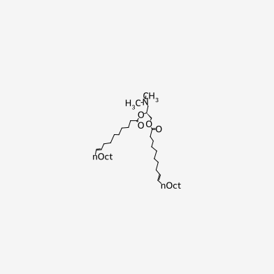 CCCCCCCCC=CCCCCCCCC(=O)OC[C@H](CN(C)C)OC(=O)CCCCCCCC=CCCCCCCCC